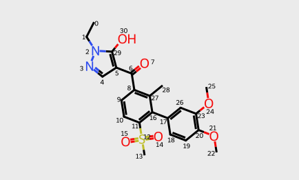 CCn1ncc(C(=O)c2ccc(S(C)(=O)=O)c(-c3ccc(OC)c(OC)c3)c2C)c1O